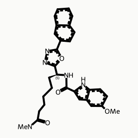 CNC(=O)CCCCC[C@H](NC(=O)c1cc2cc(OC)ccc2[nH]1)c1nnc(-c2ccc3ccccc3c2)o1